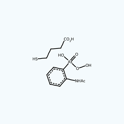 CC(=O)Nc1ccccc1[As](=O)(O)OO.O=C(O)CCCS